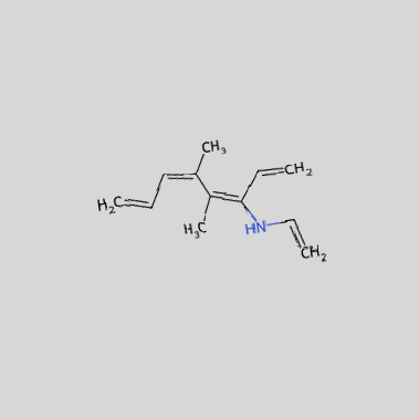 C=C/C=C(C)\C(C)=C(/C=C)NC=C